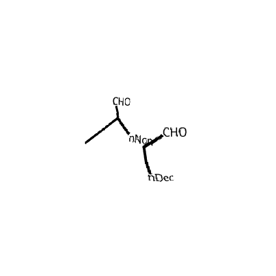 CCCCCCCCCC(C)C=O.CCCCCCCCCCCC=O